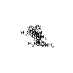 CCC[C@@H](CCC[C@@H](CO)N(C)S(=O)(=O)c1ccc(N)cc1)NC(=O)[C@@H](NC(=O)OC)C(c1ccccc1)c1ccccc1